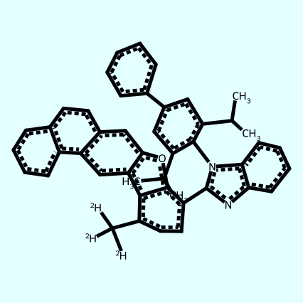 [2H]C([2H])([2H])c1ccc(-c2nc3ccccc3n2-c2c(C(C)C)cc(-c3ccccc3)cc2C(C)C)c2oc3cc4ccc5ccccc5c4cc3c12